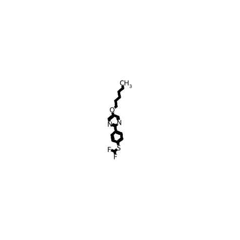 CCCCCCOc1cnc(-c2ccc(SC(F)F)cc2)nc1